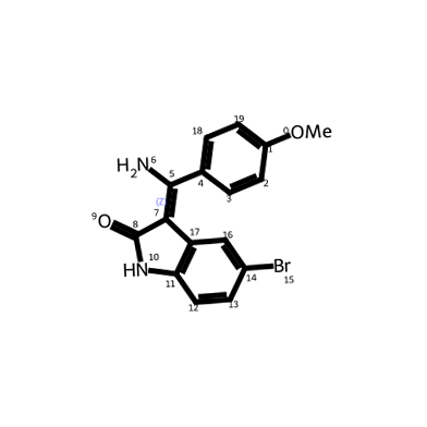 COc1ccc(/C(N)=C2/C(=O)Nc3ccc(Br)cc32)cc1